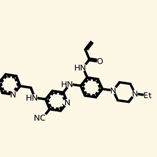 C=CC(=O)Nc1cc(N2CCN(CC)CC2)ccc1Nc1cc(NCc2ccccn2)c(C#N)cn1